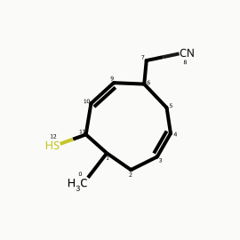 CC1CC=CCC(CC#N)C=CC1S